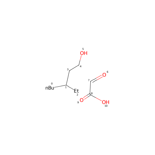 CCCCC(CC)CCO.O=CC(=O)O